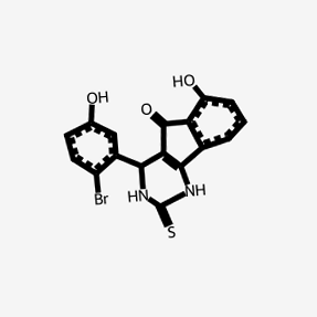 O=C1C2=C(NC(=S)NC2c2cc(O)ccc2Br)c2cccc(O)c21